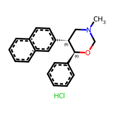 CN1CO[C@@H](c2ccccc2)[C@H](c2ccc3ccccc3c2)C1.Cl